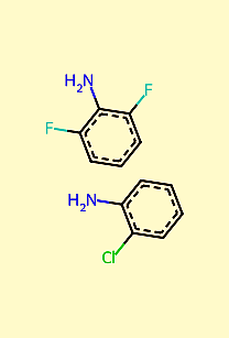 Nc1c(F)cccc1F.Nc1ccccc1Cl